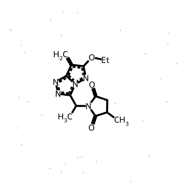 C=c1c(OCC)nn2c(C(C)N3C(=O)CC(C)C3=O)nnc12